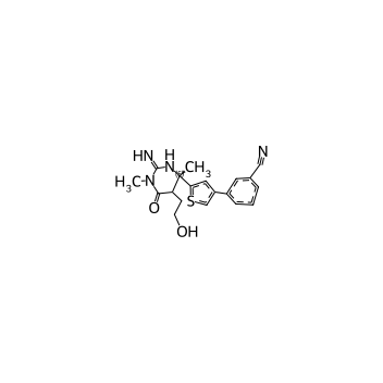 CN1C(=N)N[C@](C)(c2cc(-c3cccc(C#N)c3)cs2)C(CCO)C1=O